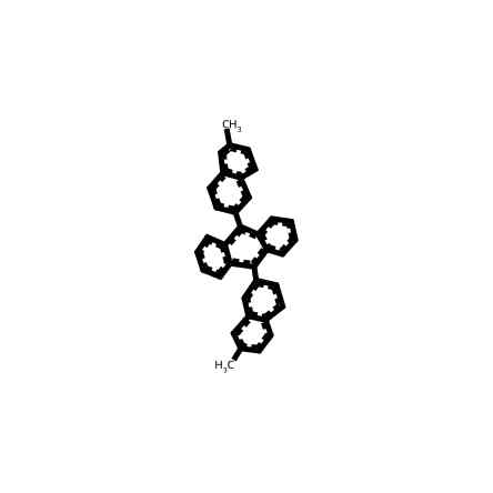 Cc1ccc2cc(-c3c4ccccc4c(-c4ccc5ccc(C)cc5c4)c4ccccc34)ccc2c1